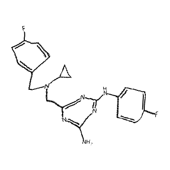 Nc1nc(CN(Cc2ccc(F)cc2)C2CC2)nc(Nc2ccc(F)cc2)n1